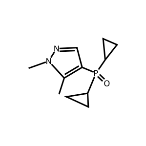 Cc1c(P(=O)(C2CC2)C2CC2)cnn1C